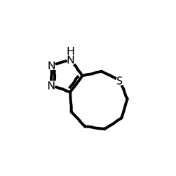 C1CCSCc2[nH]nnc2CC1